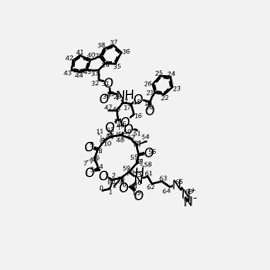 CC[C@H]1OC(=O)[C@H](C)C(=O)[C@H](C)[C@@H](OC2OCC(OC(=O)c3ccccc3)C(NC(=O)OCC3c4ccccc4-c4ccccc43)C2C)[C@@](C)(OC)C[C@@H](C)C(=O)[C@H](C)[C@H]2N(CCCCN=[N+]=[N-])C(=O)O[C@]12C